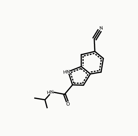 CC(C)NC(=O)c1cc2ccc(C#N)cc2[nH]1